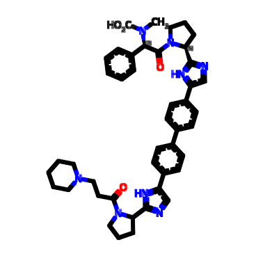 CN(C(=O)O)[C@@H](C(=O)N1CCC[C@H]1c1ncc(-c2ccc(-c3ccc(-c4cnc(C5CCCN5C(=O)CCN5CCCCC5)[nH]4)cc3)cc2)[nH]1)c1ccccc1